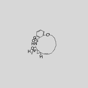 N[C@]12C[C@H]1/C=C\CCCCCCOc1ccccc1S(=O)(=O)NC2=O